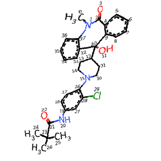 CN1C(=O)c2ccccc2C(O)(C2CCN(c3ccc(NC(=O)C(C)(C)C)cc3Cl)CC2)c2ccccc21